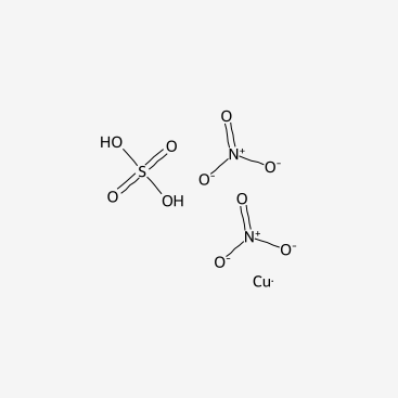 O=S(=O)(O)O.O=[N+]([O-])[O-].O=[N+]([O-])[O-].[Cu]